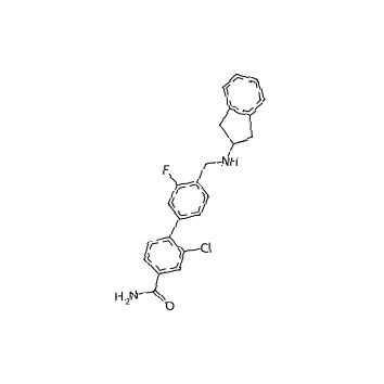 NC(=O)c1ccc(-c2ccc(CNC3Cc4ccccc4C3)c(F)c2)c(Cl)c1